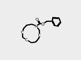 O=C(OCc1ccccc1)N1CCCCCCCCCCC1